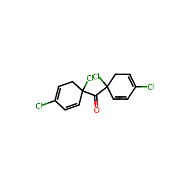 O=C(C1(Cl)C=CC(Cl)=CC1)C1(Cl)C=CC(Cl)=CC1